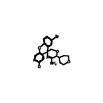 NC1=N[C@@]2(CO[C@H]1C1CCOCC1)c1cc(Br)ccc1Oc1cnc(Cl)cc12